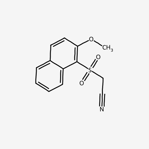 COc1ccc2ccccc2c1S(=O)(=O)CC#N